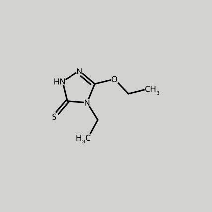 CCOc1n[nH]c(=S)n1CC